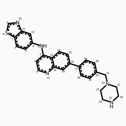 c1cc(Nc2ccc3scnc3c2)c2ccc(-c3ccc(CN4CCNCC4)cc3)cc2n1